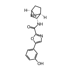 O=C(N[C@@H]1C[C@H]2CC[C@@H]1N2)c1ncc(-c2cccc(O)c2)o1